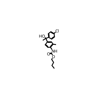 CCCCOC(=O)Nc1ccc(C(C)(O)c2ccc(Cl)cc2)cc1C